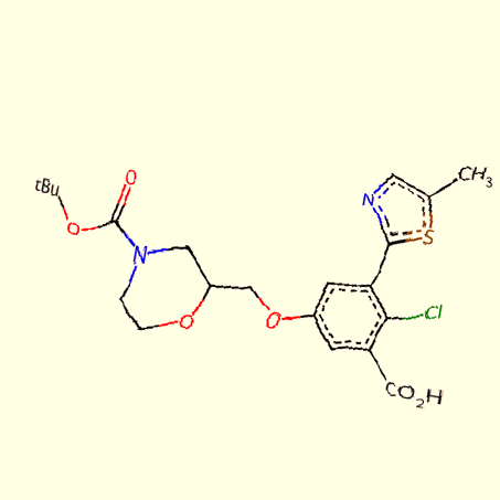 Cc1cnc(-c2cc(OCC3CN(C(=O)OC(C)(C)C)CCO3)cc(C(=O)O)c2Cl)s1